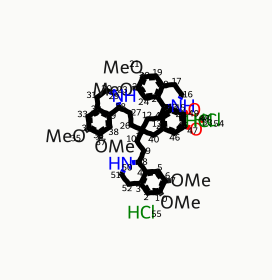 COc1cc2c(cc1OC)C(CCC(CCC1NCCc3cc(OC)c(OC)cc31)(CCC1NCCc3cc(OC)c(OC)cc31)Cc1ccc3c(c1)OCO3)NCC2.Cl.Cl.Cl